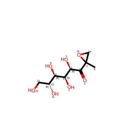 CC1(C(=O)[C@H](O)[C@@H](O)[C@H](O)[C@H](O)CO)CO1